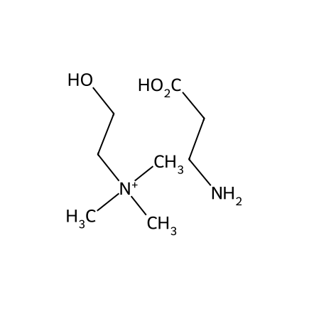 C[N+](C)(C)CCO.NCCC(=O)O